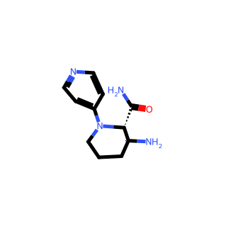 N[C]1CCCN(c2ccncc2)[C@@H]1C(N)=O